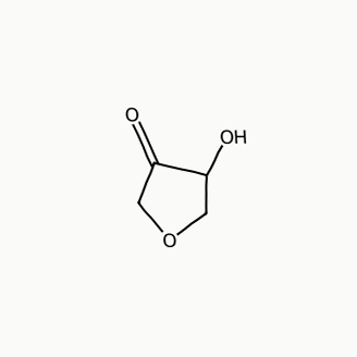 O=C1COCC1O